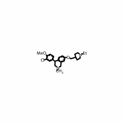 CCN1CCC(COc2ccc3c(c2)CN(C)CC3c2ccc(OC)c(Cl)c2)CC1